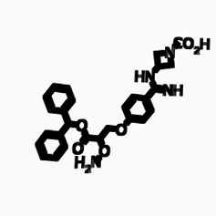 N=C(NC1CN(C(=O)O)C1)c1ccc(OCC(ON)C(=O)OC(c2ccccc2)c2ccccc2)cc1